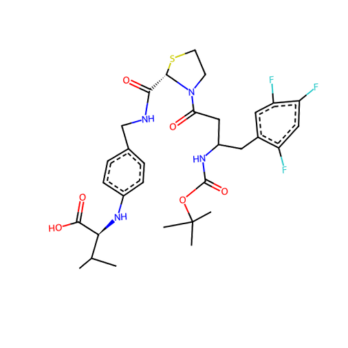 CC(C)[C@H](Nc1ccc(CNC(=O)[C@@H]2SCCN2C(=O)CC(Cc2cc(F)c(F)cc2F)NC(=O)OC(C)(C)C)cc1)C(=O)O